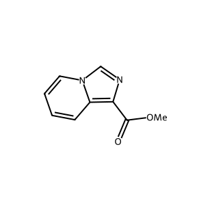 COC(=O)c1ncn2ccccc12